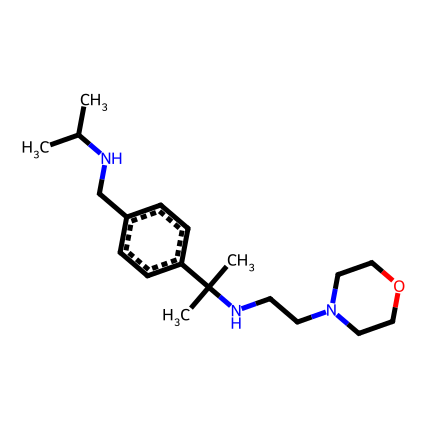 CC(C)NCc1ccc(C(C)(C)NCCN2CCOCC2)cc1